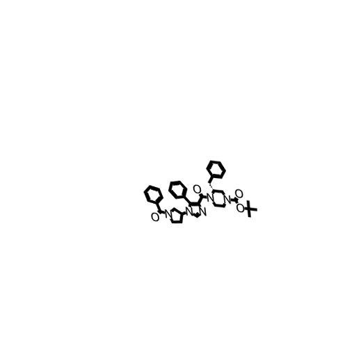 CC(C)(C)OC(=O)N1CCN(C(=O)c2ncn(C3CCN(C(=O)c4ccccc4)C3)c2-c2ccccc2)[C@H](Cc2ccccc2)C1